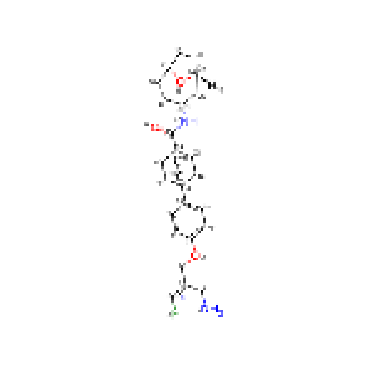 NC/C(=C\F)COc1ccc(C23CCC(C(=O)N[C@@H]4CCC5CC[C@H](C4)O5)(CC2)CC3)cc1